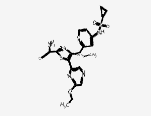 CCOc1cncc(-c2sc(C(N)=O)nc2[C@@H](CC)c2cc(NS(=O)(=O)C3CC3)ccn2)n1